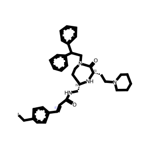 O=C(/C=C/c1ccc(CI)cc1)NC[C@@H]1CCN(CC(c2ccccc2)c2ccccc2)C(=O)[C@H](CCN2CCCCC2)N1